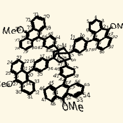 COc1c2ccccc2c(-c2ccc(C34CC5(c6ccc(-c7c8ccccc8c(OC)c8ccccc78)cc6)CC(c6ccc(-c7c8ccccc8c(OC)c8ccccc78)cc6)(C3)CC(c3ccc(-c6c7ccccc7c(OC)c7ccccc67)cc3)(C4)C5)cc2)c2ccccc12